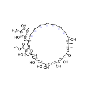 CCOC(=O)[C@H]1[C@@H]2C[C@@H](O[C@@H]3O[C@H](C)[C@@H](O)[C@H](N)[C@H]3O)/C=C/C=C/C=C/C=C/C=C/C=C/C=C/[C@H](C)[C@@H](O)[C@@H](C)[C@H](C)OC(=O)C[C@H](O)C[C@H](O)CC[C@@H](O)[C@H](O)C[C@H](O)C[C@](O)(C[C@@H]1O)O2